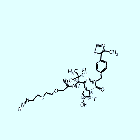 Cc1ncsc1-c1ccc(CNC(=O)[C@@H]2[C@H](F)[C@@H](O)CN2C(=O)[C@@H](NC(=O)COCCOCCN=[N+]=[N-])C(C)(C)C)cc1